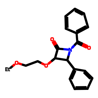 CCOCCOC1C(=O)N(C(=O)c2ccccc2)C1c1ccccc1